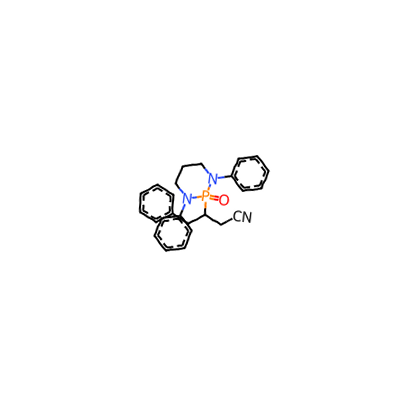 N#CCC(Cc1ccccc1)P1(=O)N(c2ccccc2)CCCN1c1ccccc1